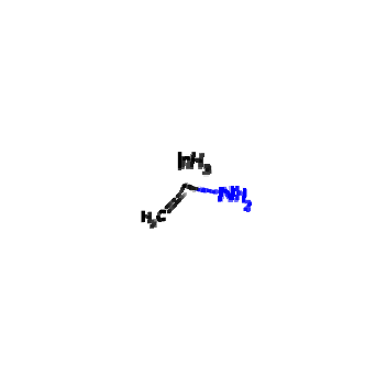 C=CN.[InH3]